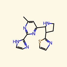 Cc1cc(C2NCCC2c2nccs2)nc(-c2ncc[nH]2)n1